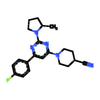 CC1CCCN1c1nc(-c2ccc(F)cc2)cc(N2CCC(C#N)CC2)n1